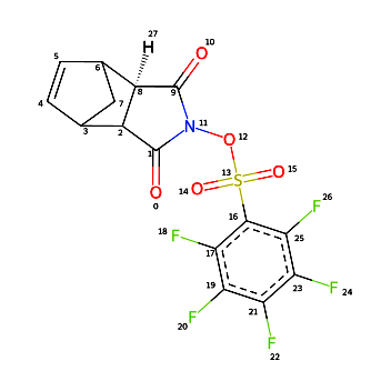 O=C1C2C3C=CC(C3)[C@H]2C(=O)N1OS(=O)(=O)c1c(F)c(F)c(F)c(F)c1F